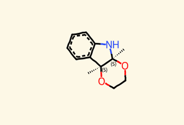 C[C@@]12Nc3ccccc3[C@]1(C)OCCO2